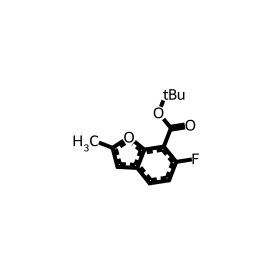 Cc1cc2ccc(F)c(C(=O)OC(C)(C)C)c2o1